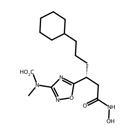 CN(C(=O)O)c1noc([C@H](CCCC2CCCCC2)CC(=O)NO)n1